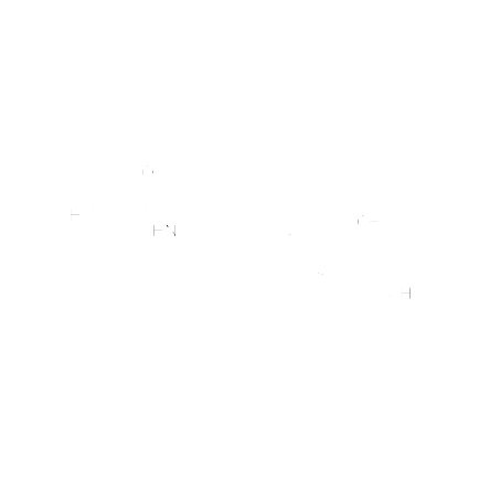 CC(=O)NCCOC(=O)C(C)C